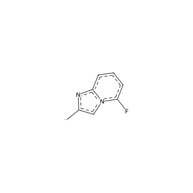 [CH2]c1cn2c(F)cccc2n1